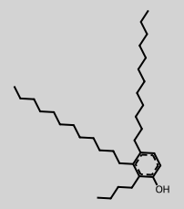 CCCCCCCCCCCCc1ccc(O)c(CCCC)c1CCCCCCCCCCCC